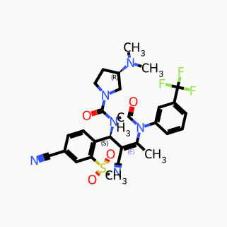 C/C(=C(\C#N)[C@@H](c1ccc(C#N)cc1S(C)(=O)=O)N(C)C(=O)N1CC[C@@H](N(C)C)C1)N(C=O)c1cccc(C(F)(F)F)c1